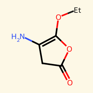 CCOC1=C(N)CC(=O)O1